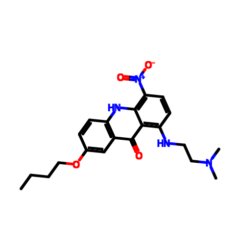 CCCCOc1ccc2[nH]c3c([N+](=O)[O-])ccc(NCCN(C)C)c3c(=O)c2c1